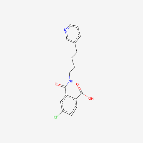 O=C(O)c1ccc(Cl)cc1C(=O)NCCCCc1cccnc1